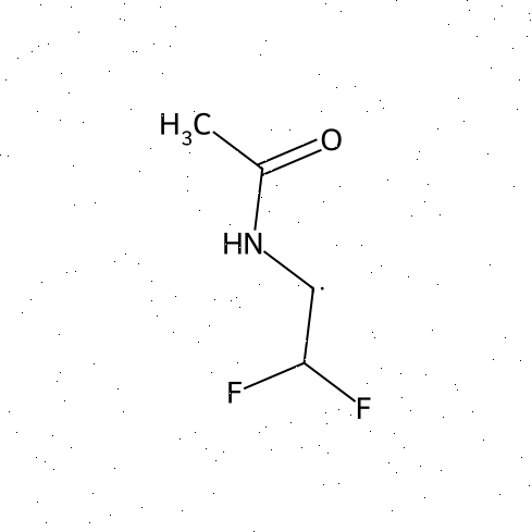 CC(=O)N[CH]C(F)F